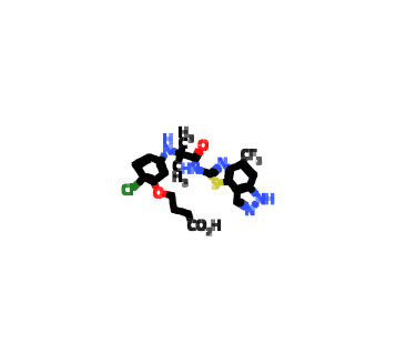 CC(C)(Nc1ccc(Cl)c(OCCCC(=O)O)c1)C(=O)Nc1nc2c(C(F)(F)F)cc3[nH]ncc3c2s1